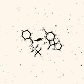 CC1[C@H]2[C@H](C#C[C@@H](O[Si](C)(C)C(C)(C)C)C3CCCCC3)[C@@H](O)CC[C@@]2(C)C12OCCO2